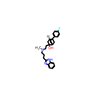 CN(CCCc1nc2ccccc2[nH]1)CCC1(O)C[C@@H]2CCC1C=C2c1ccc(F)cc1